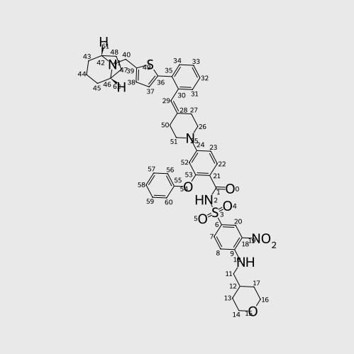 O=C(NS(=O)(=O)c1ccc(NCC2CCOCC2)c([N+](=O)[O-])c1)c1ccc(N2CCC(=Cc3ccccc3-c3ccc(CN4[C@@H]5CCC[C@H]4CC5)s3)CC2)cc1Oc1ccccc1